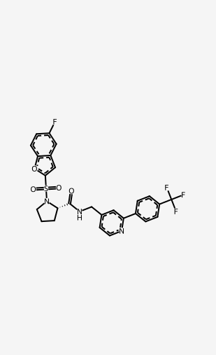 O=C(NCc1ccnc(-c2ccc(C(F)(F)F)cc2)c1)[C@@H]1CCCN1S(=O)(=O)c1cc2cc(F)ccc2o1